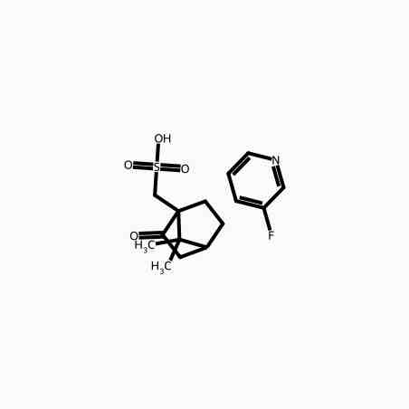 CC1(C)C2CCC1(CS(=O)(=O)O)C(=O)C2.Fc1cccnc1